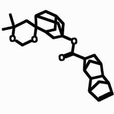 CC1(C)CC2(OCO1)C1CC3CC2CC(OC(=O)C2CC4CC2C2C5C=CC(C5)C42)(C3)C1